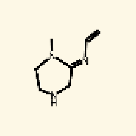 C=C/N=C1/CNCCN1C